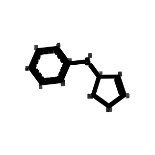 [c]1ccccc1SC1C=CCC1